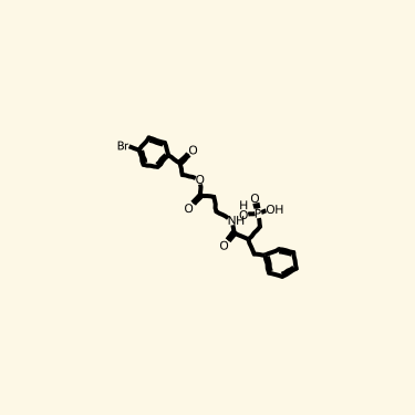 O=C(CCNC(=O)C(Cc1ccccc1)CP(=O)(O)O)OCC(=O)c1ccc(Br)cc1